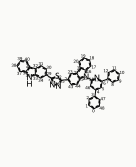 c1ccc(-c2cc(-c3ccccc3)nc(-n3c4ccccc4c4cc(-c5nnc(-c6ccc7c(c6)[nH]c6ccccc67)s5)ccc43)c2)cc1